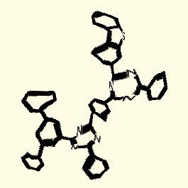 c1ccc(-c2cc(-c3ccccc3)cc(-c3nc(-c4ccccc4)nc(-c4ccc(-c5nc(-c6ccccc6)nc(-c6ccc7c(c6)sc6ccccc67)n5)cc4)n3)c2)cc1